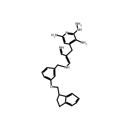 N=C/C(=C\NCc1cccc(OCC2CCc3ccccc32)c1)Cc1cc(N)nc(NN)c1N